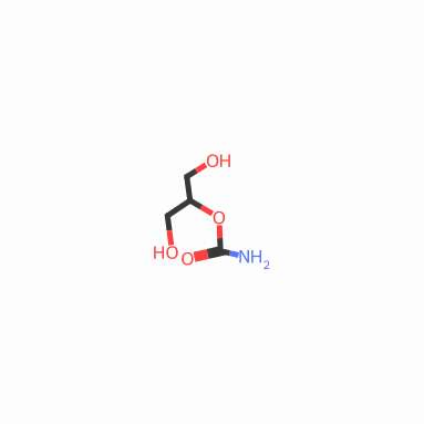 NC(=O)OC(CO)CO